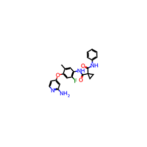 Cc1cc(NC(=O)C2(C(=O)Nc3ccccc3)CC2)c(F)cc1Oc1ccnc(N)c1